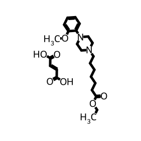 CCOC(=O)CCCCCCN1CCN(c2ccccc2OC)CC1.O=C(O)C=CC(=O)O